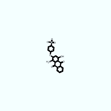 Nc1c(Oc2ccc(S(=O)(=O)Cl)cc2)cc(O)c2c1C(=O)c1ccccc1C2=O